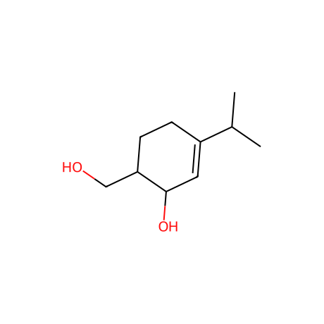 CC(C)C1=CC(O)C(CO)CC1